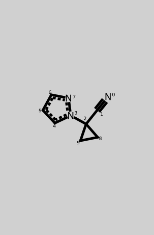 N#CC1(n2cccn2)CC1